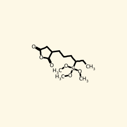 CCC(CCCC1CC(=O)OC1=O)[Si](OC)(OC)OC